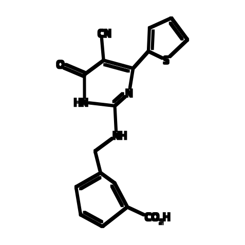 N#Cc1c(-c2cccs2)nc(NCc2cccc(C(=O)O)c2)[nH]c1=O